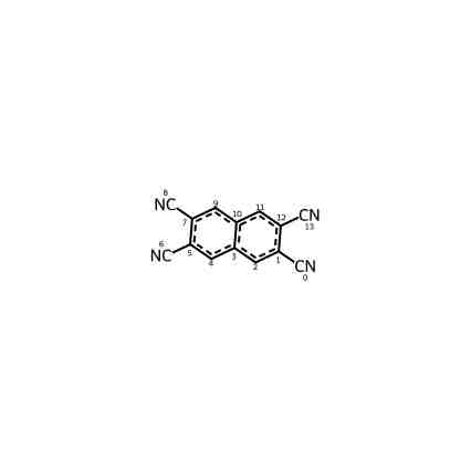 N#Cc1cc2cc(C#N)c(C#N)cc2cc1C#N